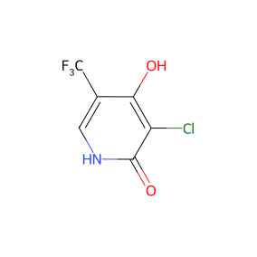 O=c1[nH]cc(C(F)(F)F)c(O)c1Cl